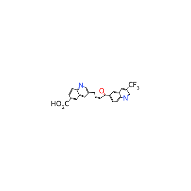 O=C(O)c1ccc2ncc(C/C=C\C(=O)c3ccc4ncc(C(F)(F)F)cc4c3)cc2c1